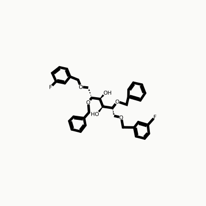 O[C@@H]([C@H](O)[C@@H](COCc1cccc(F)c1)OCc1ccccc1)[C@@H](COCc1cccc(F)c1)OCc1ccccc1